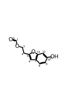 O=COCCc1cc2ccc(O)cc2o1